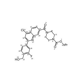 CCCOC(=O)N1CCN(C(=O)c2ccc3c(Cl)cc(-c4ccc(CO)c(F)c4)nc3c2)CC1